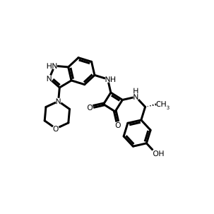 C[C@@H](Nc1c(Nc2ccc3[nH]nc(N4CCOCC4)c3c2)c(=O)c1=O)c1cccc(O)c1